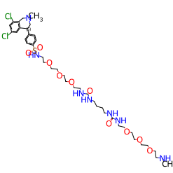 CNCCOCCOCCOCCNC(=O)NCCCCNC(=O)NCCOCCOCCOCCNS(=O)(=O)c1ccc([C@@H]2CN(C)Cc3c(Cl)cc(Cl)cc32)cc1